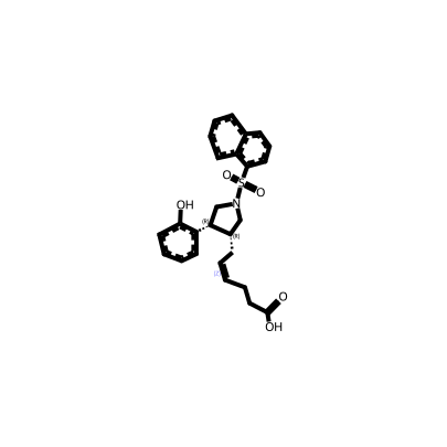 O=C(O)CC/C=C\C[C@H]1CN(S(=O)(=O)c2cccc3ccccc23)C[C@H]1c1ccccc1O